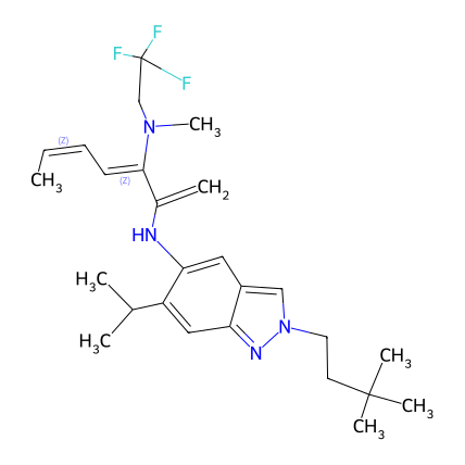 C=C(Nc1cc2cn(CCC(C)(C)C)nc2cc1C(C)C)/C(=C/C=C\C)N(C)CC(F)(F)F